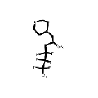 CC(=O)OC(CN1CCOCC1)CC(F)(F)C(F)(F)C(F)(F)C(F)(F)F